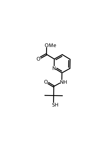 COC(=O)c1cccc(NC(=O)C(C)(C)S)n1